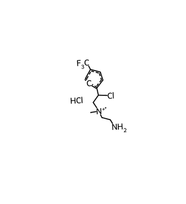 C[N+](C)(CCN)CC(Cl)c1ccc(C(F)(F)F)cc1.Cl